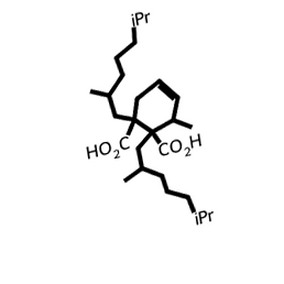 CC(C)CCCC(C)CC1(C(=O)O)CC=CC(C)C1(CC(C)CCCC(C)C)C(=O)O